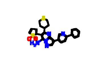 Nc1c(C2=CC=CS2(=O)=O)c(C2CCSCC2)nc2c(-c3ccc(-c4ccccc4)nc3)cnn12